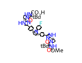 COC(=O)N[C@H](C(=O)N1CCC[C@H]1c1nc(-c2ccc([C@H]3CC[C@H](c4ccc(-c5c[nH]c([C@@H]6CCCN6C(=O)[C@@H](NC(=O)O)C(C)(C)C)n5)cc4)N3c3ccc(F)cc3)cc2)c[nH]1)C(C)(C)C